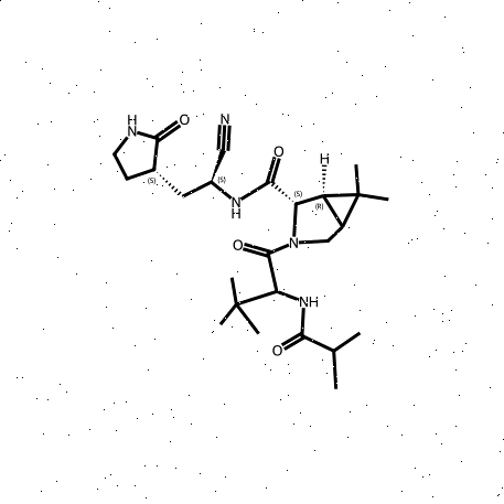 CC(C)C(=O)NC(C(=O)N1CC2[C@@H]([C@H]1C(=O)N[C@H](C#N)C[C@@H]1CCNC1=O)C2(C)C)C(C)(C)C